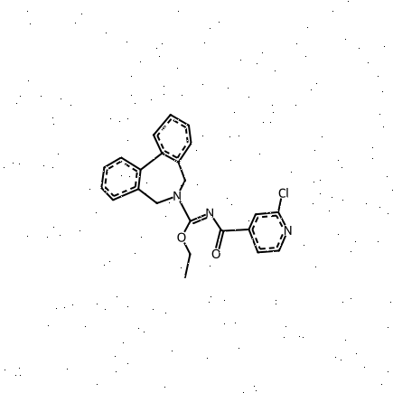 CCO/C(=N\C(=O)c1ccnc(Cl)c1)N1Cc2ccccc2-c2ccccc2C1